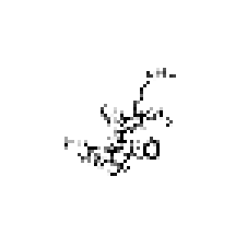 CCCC[C@H](NC(=O)[C@H](N)CCCCN)C(=O)N[C@@H](Cc1ccccc1)C(=O)N[C@@H](CC(=O)O)C(=O)O